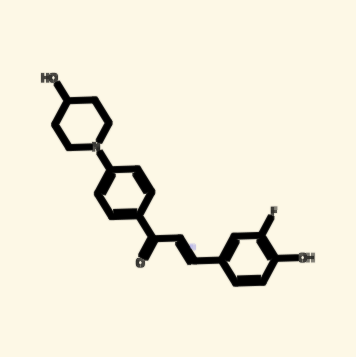 O=C(/C=C/c1ccc(O)c(F)c1)c1ccc(N2CCC(O)CC2)cc1